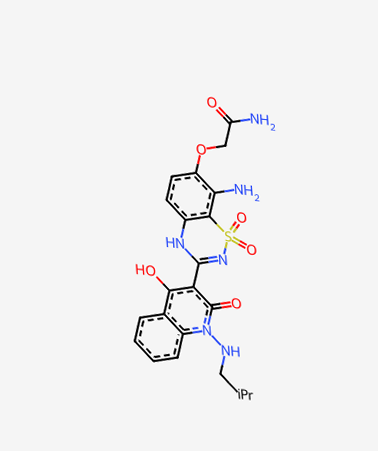 CC(C)CNn1c(=O)c(C2=NS(=O)(=O)c3c(ccc(OCC(N)=O)c3N)N2)c(O)c2ccccc21